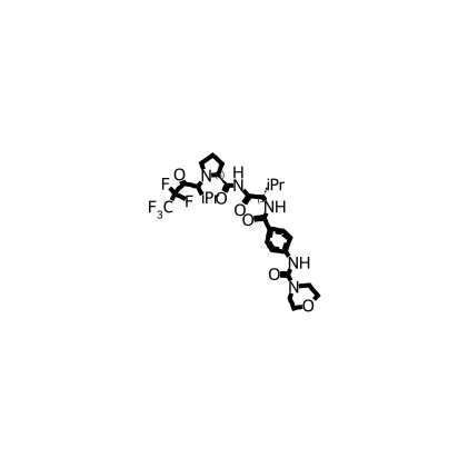 CC(C)C(C(=O)C(F)(F)C(F)(F)F)N1CCC[C@H]1C(=O)NC(=O)[C@@H](NC(=O)c1ccc(NC(=O)N2CCOCC2)cc1)C(C)C